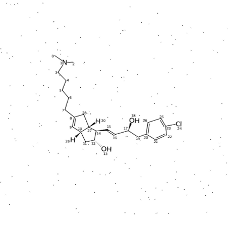 CN(C)CCCCCC1=C[C@H]2C[C@@H](O)[C@H](/C=C/[C@@H](O)Cc3ccc(Cl)cc3)[C@H]2C1